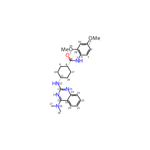 COc1ccc(NC(=O)[C@H]2CC[C@@H](Nc3nc(N(C)C)c4ccccc4n3)CC2)c(OC)c1